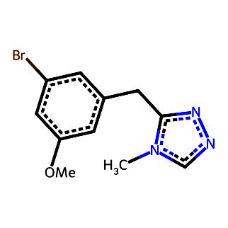 COc1cc(Br)cc(Cc2nncn2C)c1